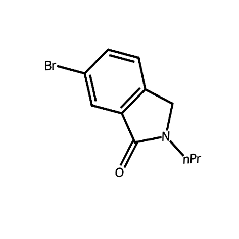 CCCN1Cc2ccc(Br)cc2C1=O